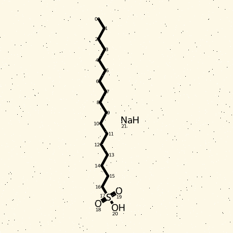 CCCCCCCCCCCCCCCCCS(=O)(=O)O.[NaH]